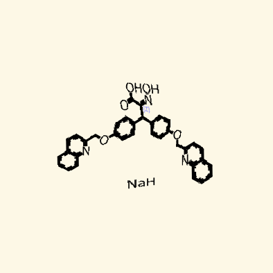 O=C(O)/C(=N\O)C(c1ccc(OCc2ccc3ccccc3n2)cc1)c1ccc(OCc2ccc3ccccc3n2)cc1.[NaH]